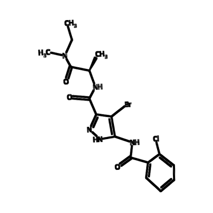 CCN(C)C(=O)[C@@H](C)NC(=O)c1n[nH]c(NC(=O)c2ccccc2Cl)c1Br